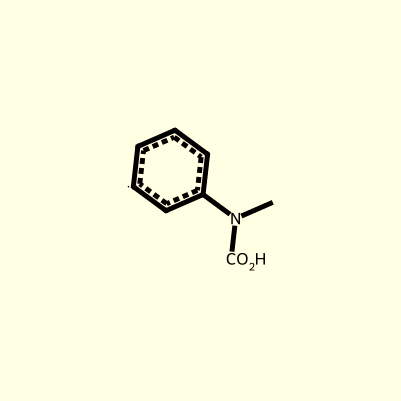 CN(C(=O)O)c1c[c]ccc1